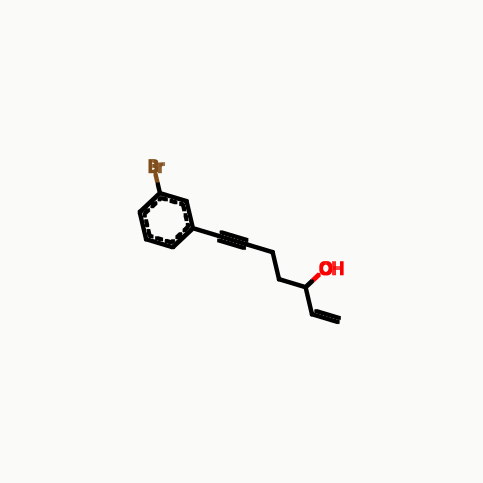 C=CC(O)CCC#Cc1cccc(Br)c1